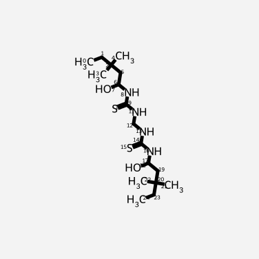 CCC(C)(C)CC(O)NC(=S)NCNC(=S)NC(O)CC(C)(C)CC